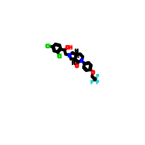 O=C1[C@H]2CN(CC(O)c3ccc(Cl)cc3Cl)C[C@H]2CCN1c1ccc(OCC(F)(F)F)cc1